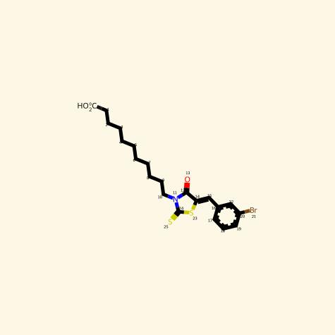 O=C(O)CCCCCCCCCCN1C(=O)/C(=C/c2cccc(Br)c2)SC1=S